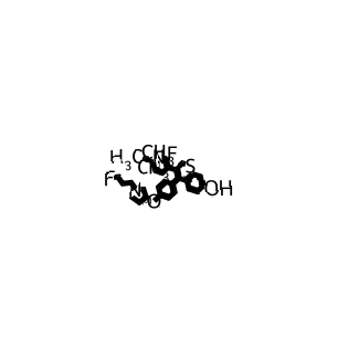 CC(C)(C)c1ccc(C2=C(c3ccc(O[C@H]4CCN(CCCF)C4)cc3)c3ccc(O)cc3SC2)c(F)n1